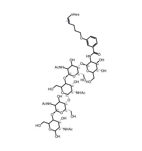 CCCCCC/C=C\CCCOc1cccc(C(=O)NC2[C@H](O[C@H]3C(O)C(NC(C)=O)[C@H](OC4C(CO)O[C@@H](O[C@H]5C(O)C(NC(C)=O)[C@H](OC6C(CO)OC(O)[C@@H](NC(C)=O)[C@H]6O)O[C@H]5CO)[C@@H](NC(C)=O)[C@H]4O)O[C@H]3CO)OC(CO)[C@@H](O)[C@@H]2O)c1